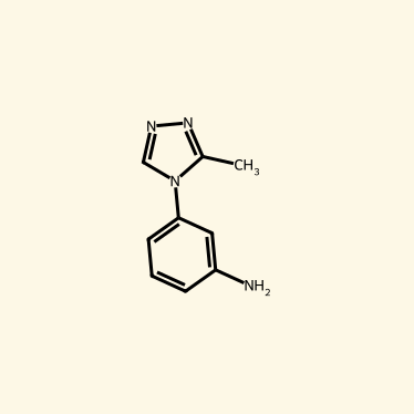 Cc1nncn1-c1cccc(N)c1